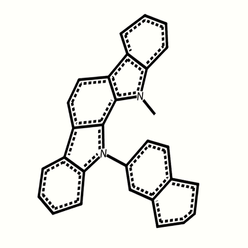 Cn1c2ccccc2c2ccc3c4ccccc4n(-c4ccc5ccccc5c4)c3c21